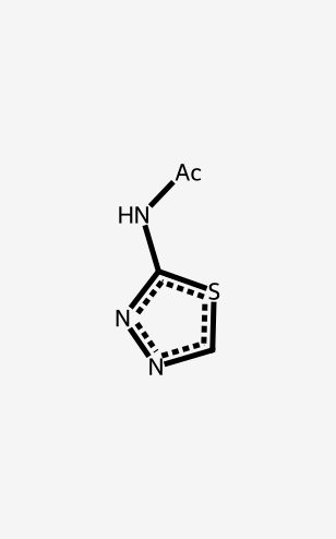 CC(=O)Nc1nncs1